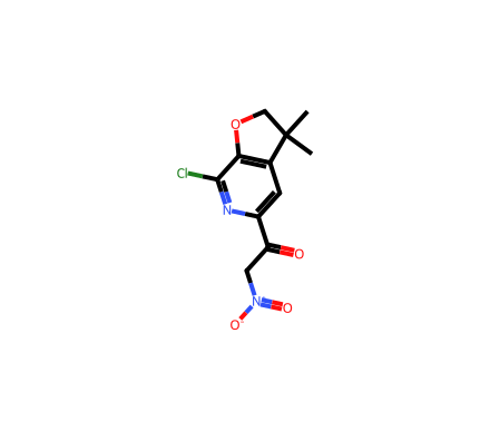 CC1(C)COc2c1cc(C(=O)C[N+](=O)[O-])nc2Cl